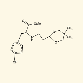 COC(=O)[C@H](Cc1ccc(O)cc1)NCCC1OCC(C)(C)CO1